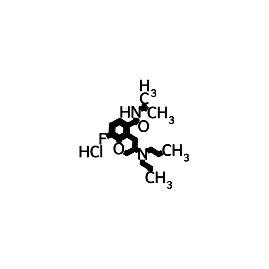 CCCN(CCC)C1COc2c(F)ccc(C(=O)NC(C)C)c2C1.Cl